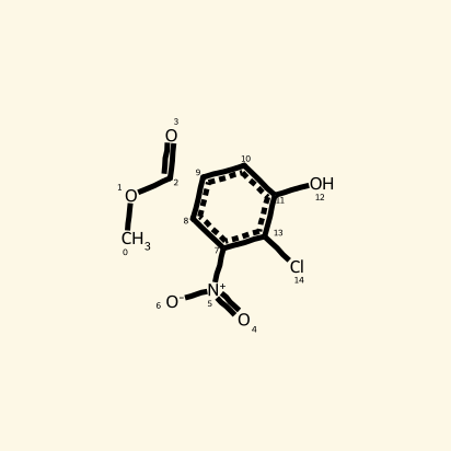 COC=O.O=[N+]([O-])c1cccc(O)c1Cl